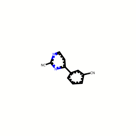 N#Cc1cccc(-c2ccnc(C#N)n2)c1